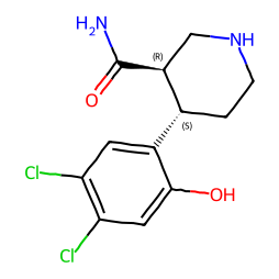 NC(=O)[C@H]1CNCC[C@@H]1c1cc(Cl)c(Cl)cc1O